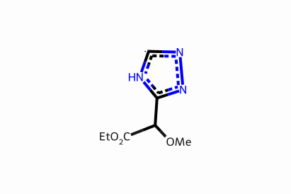 CCOC(=O)C(OC)c1nn[c][nH]1